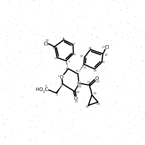 O=C(O)C[C@H]1O[C@H](c2cccc(Cl)c2)[C@H](c2ccc(Cl)cc2)N(C(=O)C2CC2)C1=O